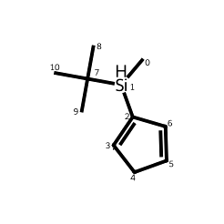 C[SiH](C1=[C]CC=C1)C(C)(C)C